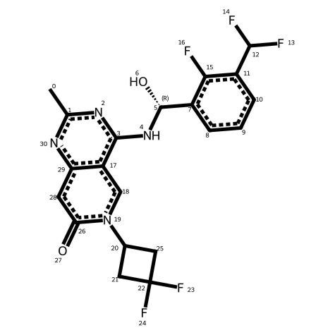 Cc1nc(N[C@H](O)c2cccc(C(F)F)c2F)c2cn(C3CC(F)(F)C3)c(=O)cc2n1